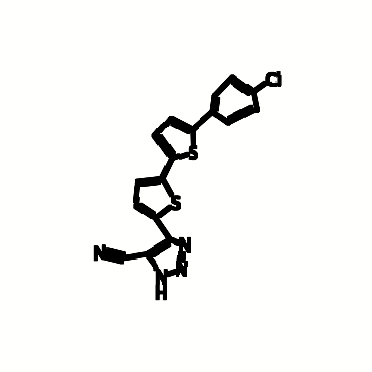 N#Cc1[nH]nnc1-c1ccc(-c2ccc(-c3ccc(Cl)cc3)s2)s1